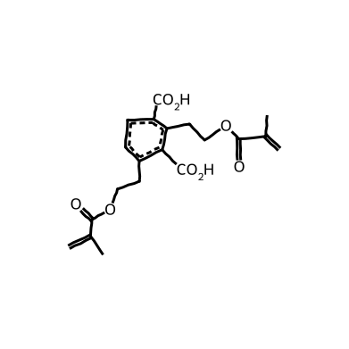 C=C(C)C(=O)OCCc1ccc(C(=O)O)c(CCOC(=O)C(=C)C)c1C(=O)O